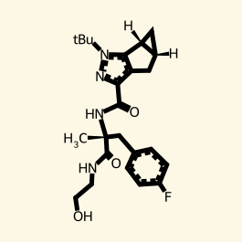 CC(C)(C)n1nc(C(=O)N[C@](C)(Cc2ccc(F)cc2)C(=O)NCCO)c2c1[C@@H]1C[C@@H]1C2